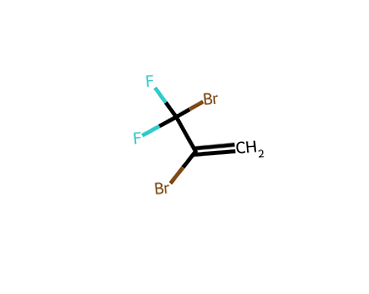 C=C(Br)C(F)(F)Br